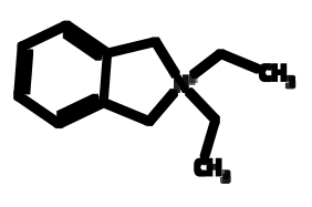 CC[N+]1(CC)Cc2ccccc2C1